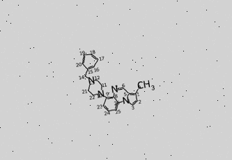 Cc1ccn2c1cnc1c(N3CCN(Cc4ccccc4)CC3)cccc12